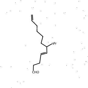 C=CCCCCC(C=CCCC=O)CCC